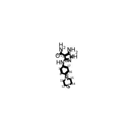 NC(=O)c1c(Nc2ccc(N3CCSCC3)cc2)n[nH]c1N